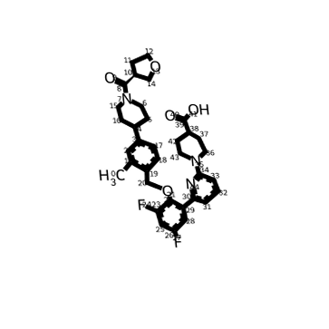 Cc1cc(C2CCN(C(=O)[C@H]3CCOC3)CC2)ccc1COc1c(F)cc(F)cc1-c1cccc(N2CCC(C(=O)O)CC2)n1